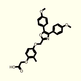 COc1ccc(-c2nc(COc3ccc(OCC(=O)O)c(C)c3)oc2-c2ccc(OC)cc2)cc1